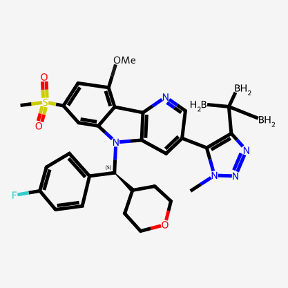 BC(B)(B)c1nnn(C)c1-c1cnc2c3c(OC)cc(S(C)(=O)=O)cc3n([C@H](c3ccc(F)cc3)C3CCOCC3)c2c1